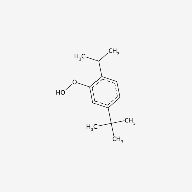 CC(C)c1ccc(C(C)(C)C)cc1OO